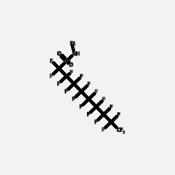 CCNS(=O)(=O)C(F)(F)C(F)(F)C(F)(F)C(F)(F)C(F)(F)C(F)(F)C(F)(F)C(F)(F)C(F)(F)F